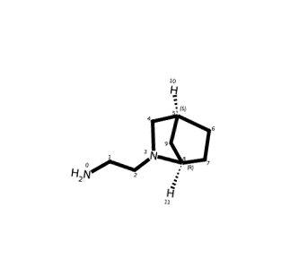 NCCN1C[C@H]2CC[C@@H]1C2